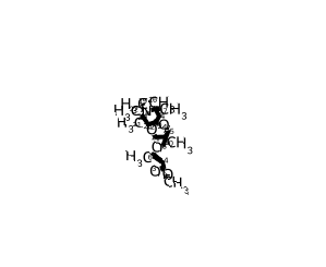 COC(=O)C=C(C)OCC1(C)COC2(CC(C)(C)N(C)C(C)(C)C2)OC1